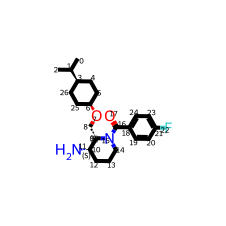 CC(C)[C@H]1CC[C@@H](OC[C@H]2[C@@H](N)CCCN2C(=O)c2ccc(F)cc2)CC1